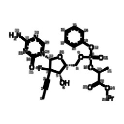 CC#CC1(F)[C@@H](O)[C@@H](COP(=O)(Oc2ccccc2)O[C@@H](C)C(=O)OC(C)C)O[C@H]1n1cnc(N)nc1=O